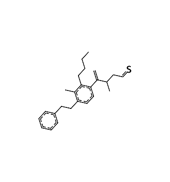 C=C(c1ccc(CCc2ccccc2)c(C)c1CCCC)C(C)CC=S